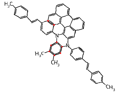 Cc1ccc(C=Cc2ccc(N(c3ccc(C)cc3)c3cc4cccc5c6cccc7cccc(c(c3N(c3ccc(C)cc3)c3ccc(C=Cc8ccc(C)cc8)cc3)c45)c76)cc2)cc1